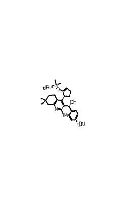 CC(C)c1nc2c(c([C@@H]3CCC=C3O[Si](C)(C)C(C)(C)C)c1[C@H](O)c1ccc(C(C)(C)C)cc1)CCC(C)(C)C2